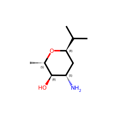 CC(C)[C@H]1C[C@H](N)[C@@H](O)[C@H](C)O1